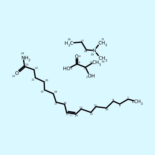 CC(O)C(=O)O.CCCCCCCC/C=C\CCCCCCCC(N)=O.CCCN(C)C